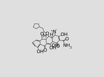 C[C@@H]1c2cccc(O)c2C(=O)C2=C(O)[C@]3(O)C(=O)C(C(N)=O)=C(O)[C@H](N(C)C)[C@H]3[C@H](OC(=O)CC3CCCC3)[C@@H]21